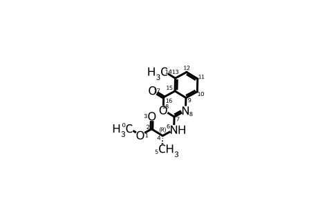 COC(=O)[C@@H](C)Nc1nc2cccc(C)c2c(=O)o1